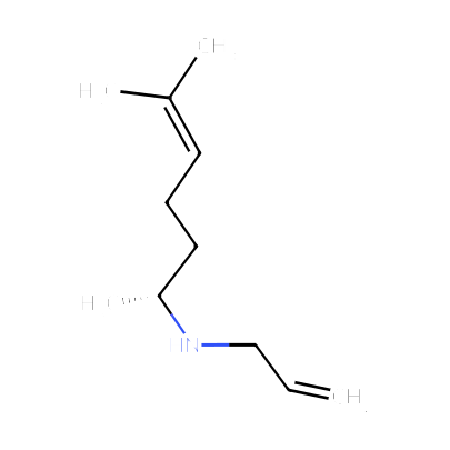 C=CCN[C@H](C)CCC=C(C)C